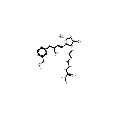 COCc1cccc(C[C@H](O)/C=C/[C@H]2[C@H](O)CC(O)[C@@H]2CCOCCCC(=O)OC)c1